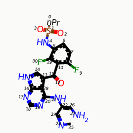 CCCS(=O)(=O)Nc1ccc(F)c(C(=O)c2c[nH]c3ncnc(NC(/C=N\C)=C/N)c23)c1F